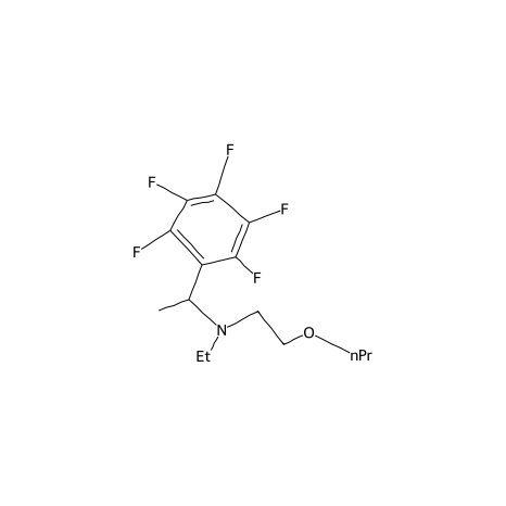 CCCOCCN(CC)C(C)c1c(F)c(F)c(F)c(F)c1F